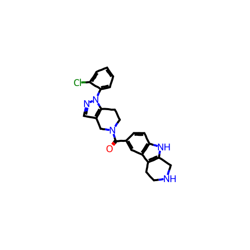 O=C(c1ccc2[nH]c3c(c2c1)CCNC3)N1CCc2c(cnn2-c2ccccc2Cl)C1